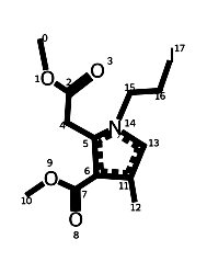 COC(=O)Cc1c(C(=O)OC)c(C)cn1CCI